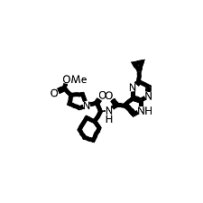 COC(=O)C1CCN(C(=O)[C@H](NC(=O)c2c[nH]c3ncc(C4CC4)nc23)C2CCCCC2)C1